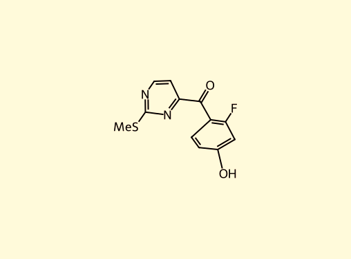 CSc1nccc(C(=O)c2ccc(O)cc2F)n1